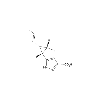 CC=C[C@@H]1[C@@H]2Cc3c(C(=O)O)n[nH]c3[C@H]12